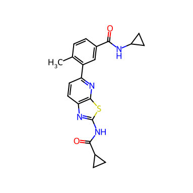 Cc1ccc(C(=O)NC2CC2)cc1-c1ccc2nc(NC(=O)C3CC3)sc2n1